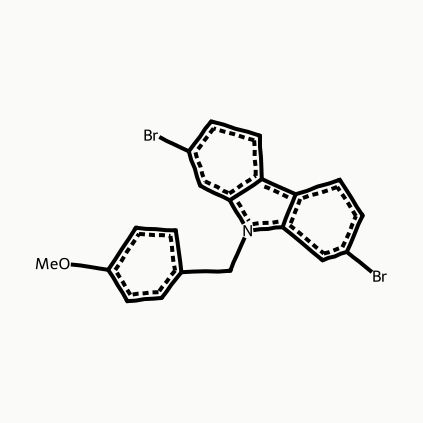 COc1ccc(Cn2c3cc(Br)ccc3c3ccc(Br)cc32)cc1